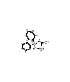 O=C1C[N+](c2ccccc2)(c2ccccc2)CN1